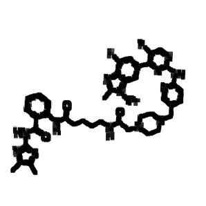 Cc1nc(NC(=O)c2ccccc2NC(=O)CCCCNC(=O)CN2CCN(Cc3ccc(Nc4ncc(F)c(-c5cc(F)c6nc(C)n(C(C)C)c6c5)n4)nc3)CC2)sc1C